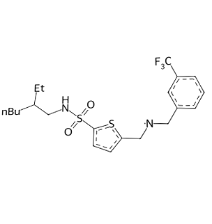 CCCCC(CC)CNS(=O)(=O)c1ccc(C[N]Cc2cccc(C(F)(F)F)c2)s1